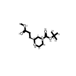 COC(=O)CC[C@H]1CN(C(=O)OC(C)(C)C)CCO1